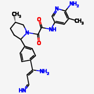 Cc1cc(NC(=O)C(=O)N2C[C@@H](C)CCC2c2ccc(/C(N)=C/C=N)cc2)cnc1N